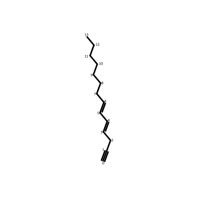 C#CCC=CC=CCCCCCCC